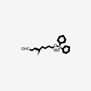 CC(C)(C)[Si](OCCCC/C(F)=C/CC=O)(c1ccccc1)c1ccccc1